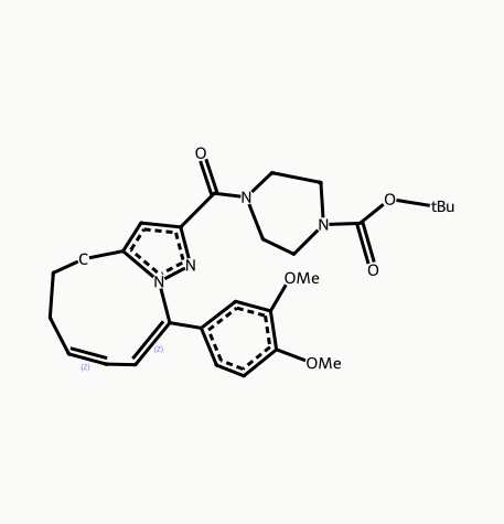 COc1ccc(/C2=C/C=C\CCCc3cc(C(=O)N4CCN(C(=O)OC(C)(C)C)CC4)nn32)cc1OC